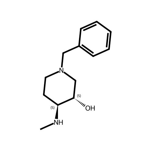 CN[C@H]1CCN(Cc2ccccc2)C[C@@H]1O